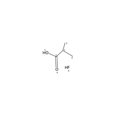 CC(C)C(=O)O.F